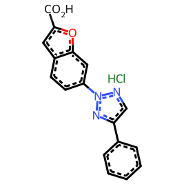 Cl.O=C(O)c1cc2ccc(-n3ncc(-c4ccccc4)n3)cc2o1